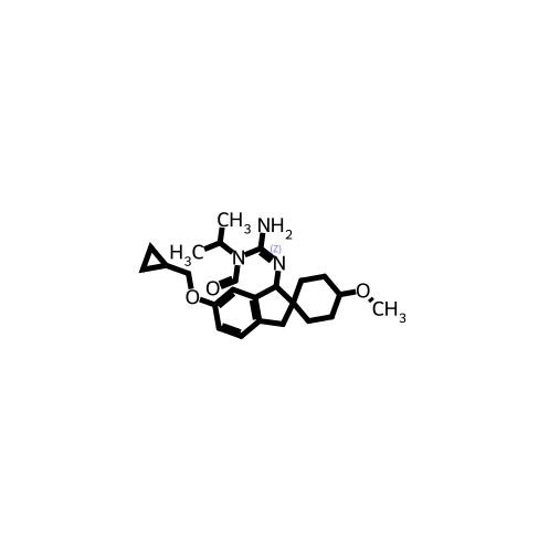 COC1CCC2(CC1)Cc1ccc(OCC3CC3)cc1C2/N=C(/N)N(C=O)C(C)C